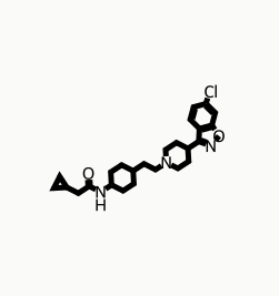 O=C(CC1CC1)NC1CCC(CCN2CCC(c3noc4cc(Cl)ccc34)CC2)CC1